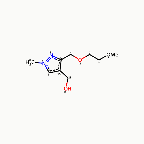 COCCOCc1nn(C)cc1CO